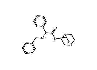 O=C(OC1CN2CCC1CC2)C(NCc1ccccc1)c1ccccc1